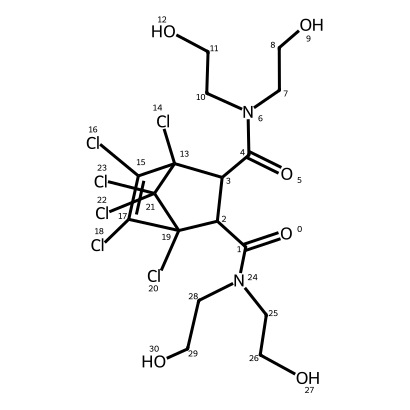 O=C(C1C(C(=O)N(CCO)CCO)C2(Cl)C(Cl)=C(Cl)C1(Cl)C2(Cl)Cl)N(CCO)CCO